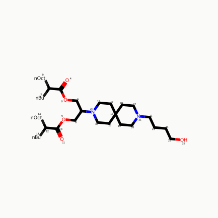 CCCCCCCCC(CCCC)C(=O)OCC(COC(=O)C(CCCC)CCCCCCCC)N1CCC2(CCN(CCCCO)CC2)CC1